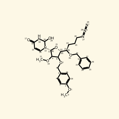 COc1ccc(COC2C(OC)[C@H](N3C=CC(=O)NC3O)O[C@@H]2[C@@H](CCCN=[N+]=[N-])OCc2ccccc2)cc1